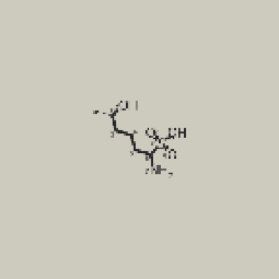 C[C@H](O)CCCC(N)S(=O)(=O)O